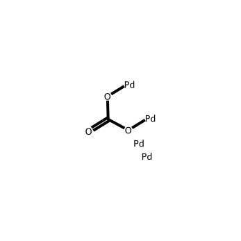 O=C([O][Pd])[O][Pd].[Pd].[Pd]